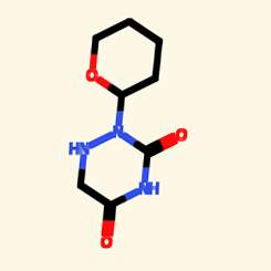 O=C1CNN(C2CCCCO2)C(=O)N1